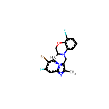 Cc1nc2cc(F)c(Br)cn2c1CN1c2cccc(F)c2OCC1C